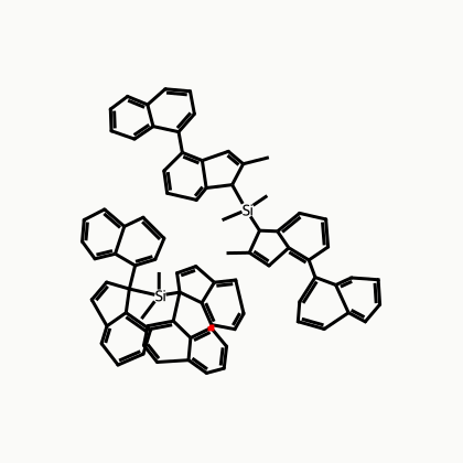 CC1=Cc2c(-c3cccc4ccccc34)cccc2C1[Si](C)(C)C1C(C)=Cc2c(-c3cccc4ccccc34)cccc21.C[Si](C)(C1(c2cccc3ccccc23)C=Cc2ccccc21)C1(c2cccc3ccccc23)C=Cc2ccccc21